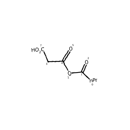 CCCC(=O)OC(=O)CC(=O)O